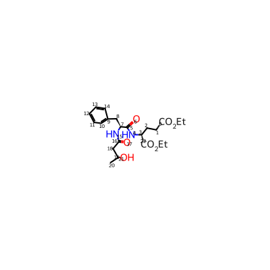 CCOC(=O)CC[C@H](NC(=O)[C@H](Cc1ccccc1)NC(=O)CC(C)O)C(=O)OCC